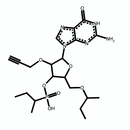 C#CCOC1C(OP(=O)(O)C(C)CC)C(COC(C)CC)OC1n1cnc2c(=O)[nH]c(N)nc21